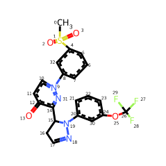 CS(=O)(=O)c1cccc(-n2ccc(=O)c(C3CC=NN3c3cccc(OC(F)(F)F)c3)n2)c1